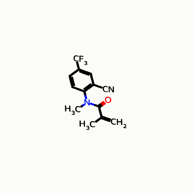 C=C(C)C(=O)N(C)c1ccc(C(F)(F)F)cc1C#N